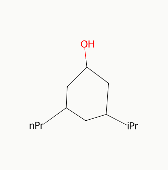 CCCC1CC(O)CC(C(C)C)C1